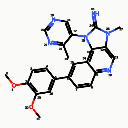 COc1ccc(-c2ccc3ncc4c(c3c2)n(-c2cncnc2C)c(=N)n4C)cc1OC